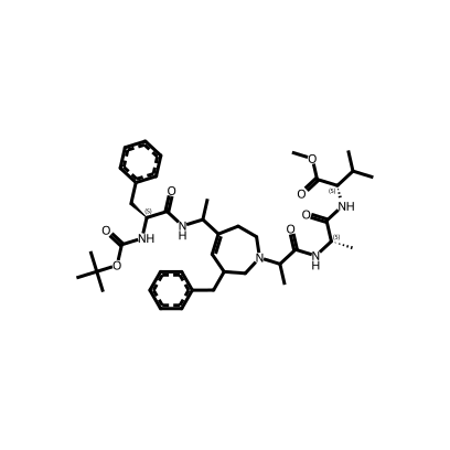 COC(=O)[C@@H](NC(=O)[C@H](C)NC(=O)C(C)N1CCC(C(C)NC(=O)[C@H](Cc2ccccc2)NC(=O)OC(C)(C)C)=CC(Cc2ccccc2)C1)C(C)C